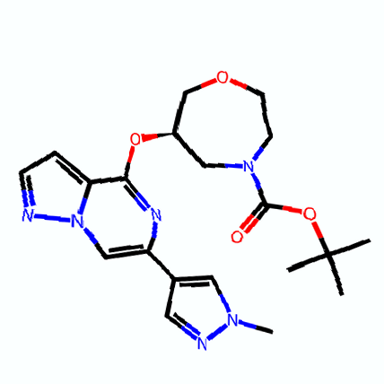 Cn1cc(-c2cn3nccc3c(O[C@H]3COCCN(C(=O)OC(C)(C)C)C3)n2)cn1